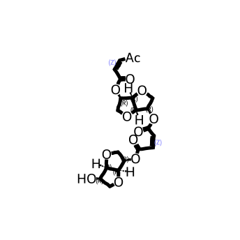 CC(=O)/C=C\C(=O)O[C@@H]1CO[C@H]2[C@@H]1OC[C@H]2OC(=O)/C=C\C(=O)O[C@@H]1CO[C@H]2[C@@H]1OC[C@H]2O